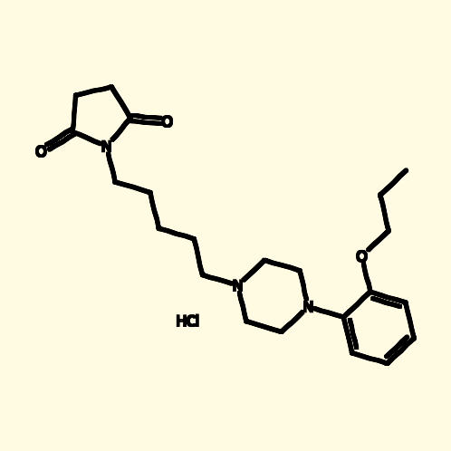 CCCOc1ccccc1N1CCN(CCCCCN2C(=O)CCC2=O)CC1.Cl